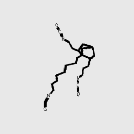 O=C=NCCCCCCCCC12CC(CC1CCCN=C=O)CC2CCN=C=O